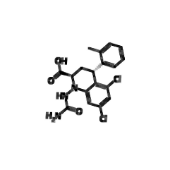 Cc1ccccc1[C@H]1C[C@H](C(=O)O)N(NC(N)=O)c2cc(Cl)cc(Cl)c21